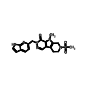 Cn1c2c(c3cnn(Cc4ccc5cc[nH]c5n4)c(=O)c31)CCN(S(C)(=O)=O)C2